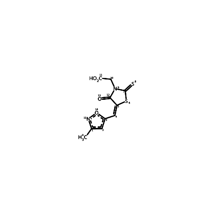 Cc1cc(/C=C2/SC(=S)N(CC(=O)O)C2=O)on1